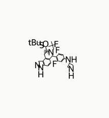 C[C@@H]1Cc2c(ccc3[nH]ncc23)C(c2c(F)cc(NC3CNC3)cc2F)N1CC(C)(F)COSC(C)(C)C